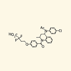 CC(=O)N(c1ccc(Cl)cc1)C1CC(C)N(C(=O)c2ccc(OCCC(F)(F)C(=O)O)cc2)c2ccccc21